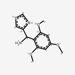 COc1cc(OC)c(C(N)c2cs[c]n2)c(OC)c1